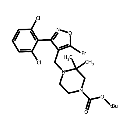 CC(C)c1onc(-c2c(Cl)cccc2Cl)c1CN1CCN(C(=O)OC(C)(C)C)CC1(C)C